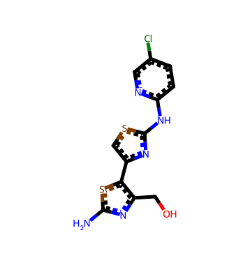 Nc1nc(CO)c(-c2csc(Nc3ccc(Cl)cn3)n2)s1